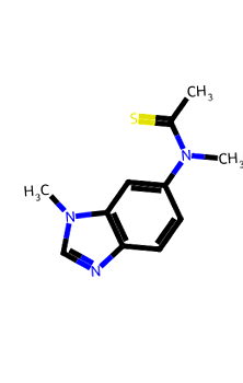 CC(=S)N(C)c1ccc2ncn(C)c2c1